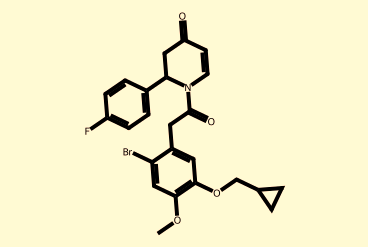 COc1cc(Br)c(CC(=O)N2C=CC(=O)CC2c2ccc(F)cc2)cc1OCC1CC1